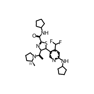 C=C(C1N=C(C(=O)NC2CCCC2)SC1c1cnc(NC2CCCC2)cc1C(F)F)N1CCC[C@@H]1C